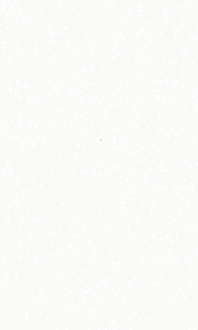 FC(F)CC[SiH2]Cl